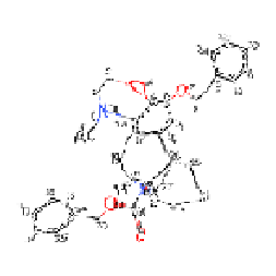 CC(=O)N1CCOc2c(OCc3ccccc3)cc3c(c21)C[C@H]1[C@H]2CCCC[C@@]32CCN1C(=O)OCc1ccccc1